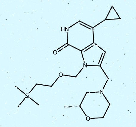 C[C@@H]1CN(Cc2cc3c(C4CC4)c[nH]c(=O)c3n2COCC[Si](C)(C)C)CCO1